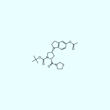 CC(=O)Oc1ccc2c(c1)CCN2[C@H]1C[C@@H](C(=O)N2CCSC2)N(C(=O)OC(C)(C)C)C1